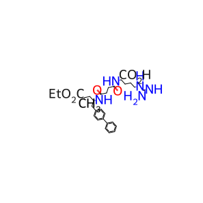 CCOC(=O)C(C)CC(Cc1ccc(-c2ccccc2)cc1)NC(=O)CCC(=O)NC(CCCNC(=N)N)C(=O)O